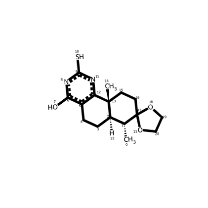 C[C@@H]1[C@H]2CCc3c(O)nc(S)nc3[C@]2(C)CCC12OCCO2